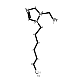 C[C](C)CN1CN=CN1CCCCCCO